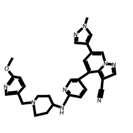 COc1ccc(CN2CCC(Nc3ccc(-c4cc(-c5cnn(C)c5)cn5ncc(C#N)c45)cn3)CC2)cn1